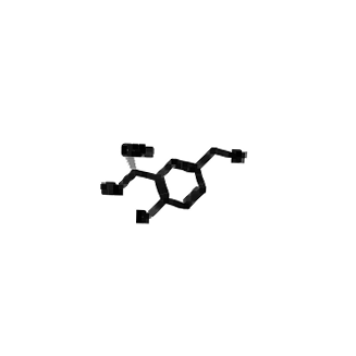 CO[C@H](c1cc(CBr)ccc1Br)C(C)(C)C